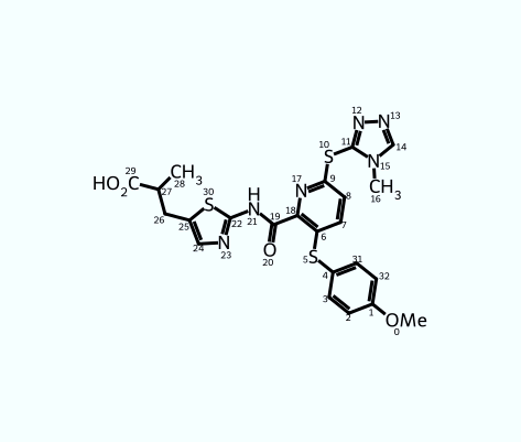 COc1ccc(Sc2ccc(Sc3nncn3C)nc2C(=O)Nc2ncc(CC(C)C(=O)O)s2)cc1